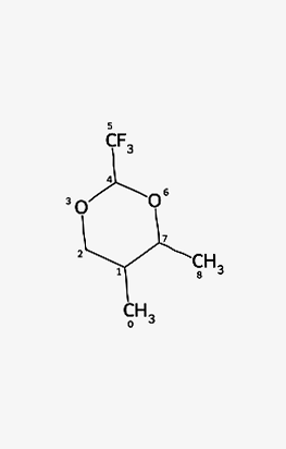 CC1COC(C(F)(F)F)OC1C